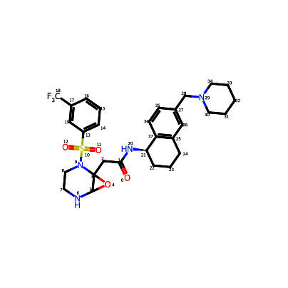 O=C(CC12OC1NCCN2S(=O)(=O)c1cccc(C(F)(F)F)c1)N[C@@H]1CCCc2cc(CN3CCCCC3)ccc21